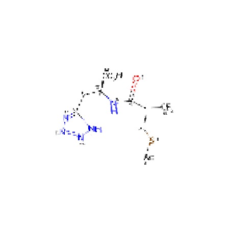 CC(=O)SCC(C(=O)N[C@@H](Cc1nnn[nH]1)C(=O)O)C(F)(F)F